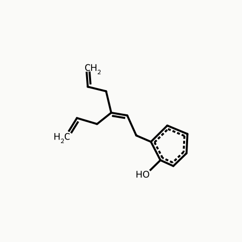 C=CCC(=CCc1ccccc1O)CC=C